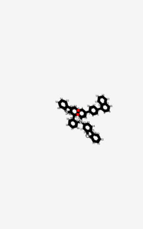 c1cc(-c2ccc(-c3cccc4ccccc34)cc2)cc(N(c2ccc3c(c2)oc2ccccc23)c2ccccc2-c2cccc3c2sc2ccccc23)c1